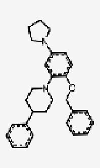 c1ccc(COc2ccc(N3CCCC3)cc2N2CCC(c3ccccc3)CC2)cc1